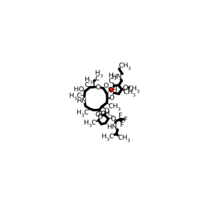 CCCNCC1[C@H](C)O[C@@H](O[C@H]2[C@H](C)[C@@H](O[C@@H]3O[C@H](C)CC[C@H]3OC(NCC(C)C)C(F)(F)F)[C@](C)(O)C[C@@H](C)CN[C@H](C)[C@@H](O)[C@@H](C)[C@@H](CC)OC(=O)[C@@H]2C)C[C@@]1(C)OC